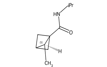 CC(C)NC(=O)C12CC(C1)[C@@H]2C